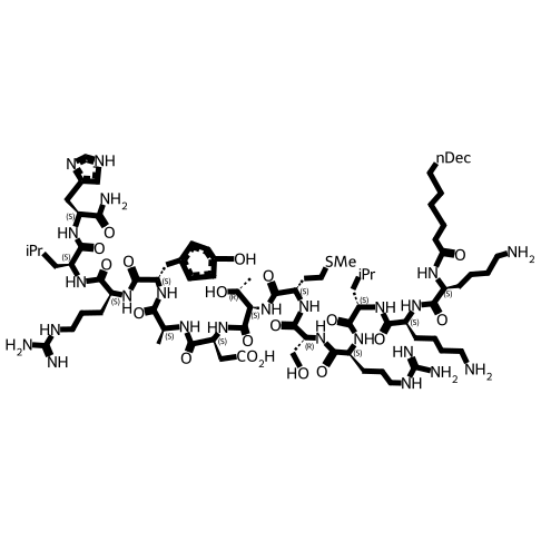 CCCCCCCCCCCCCCCC(=O)N[C@@H](CCCCN)C(=O)N[C@@H](CCCCN)C(=O)N[C@@H](CC(C)C)C(=O)N[C@@H](CCCNC(=N)N)C(=O)N[C@H](CO)C(=O)N[C@@H](CCSC)C(=O)N[C@H](C(=O)N[C@@H](CC(=O)O)C(=O)N[C@@H](C)C(=O)N[C@@H](Cc1ccc(O)cc1)C(=O)N[C@@H](CCCNC(=N)N)C(=O)N[C@@H](CC(C)C)C(=O)N[C@@H](Cc1c[nH]cn1)C(N)=O)[C@@H](C)O